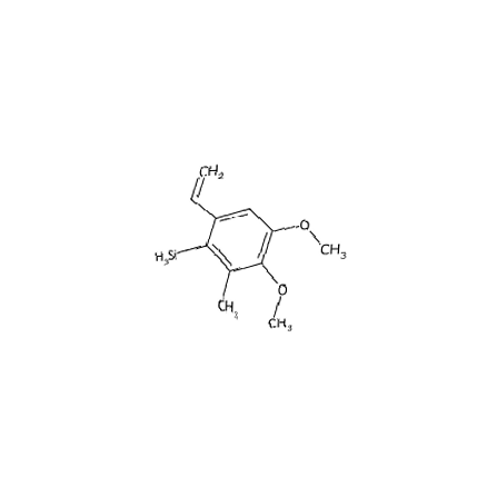 C=Cc1cc(OC)c(OC)c(C)c1[SiH3]